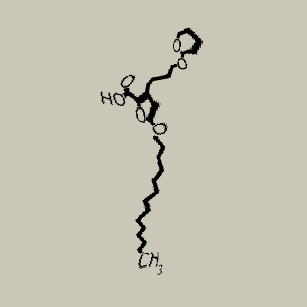 CCCCCCCCCCCCCCOc1cc(CCCOC2CCCCO2)c(C(=O)O)o1